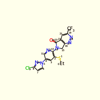 CCSc1cc(-n2ccc(Cl)n2)cnc1N1Cc2nnc(C(F)(F)F)cc2C1=O